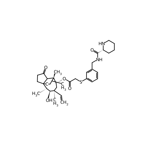 C=C[C@]1(C)C[C@@H](OC(=O)CSc2cccc(CNC(=O)[C@H]3CCCCN3)c2)[C@]2(C)C(C)CCC3(CCC(=O)C32)[C@@H](C)[C@@H]1O